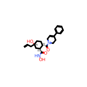 C=CC[C@]1(O)CC[C@H](C(=O)N2CC=C(c3ccccc3)CC2)[C@@H](C(=O)NO)C1